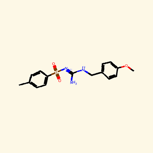 COc1ccc(CN/C(N)=N/S(=O)(=O)c2ccc(C)cc2)cc1